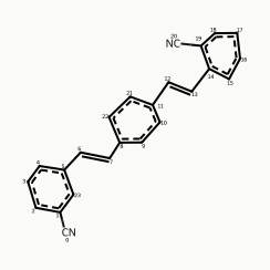 N#Cc1cccc(C=Cc2ccc(C=Cc3ccccc3C#N)cc2)c1